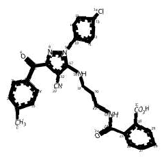 Cc1ccc(C(=O)c2nn(-c3ccc(Cl)cc3)c(NCCCNC(=O)c3ccccc3C(=O)O)c2C#N)cc1